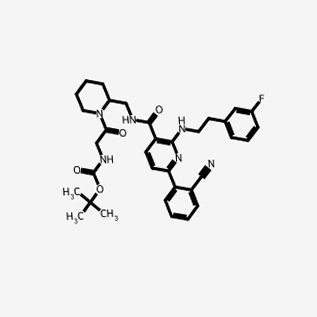 CC(C)(C)OC(=O)NCC(=O)N1CCCCC1CNC(=O)c1ccc(-c2ccccc2C#N)nc1NCCc1cccc(F)c1